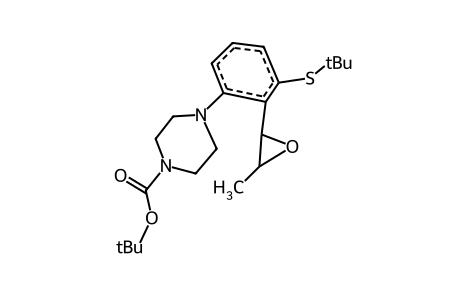 CC1OC1c1c(SC(C)(C)C)cccc1N1CCN(C(=O)OC(C)(C)C)CC1